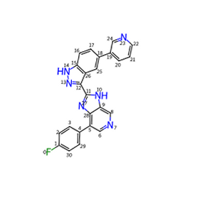 Fc1ccc(-c2cncc3[nH]c(-c4n[nH]c5ccc(-c6cccnc6)cc45)nc23)cc1